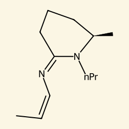 C/C=C\N=C1\CCC[C@@H](C)N1CCC